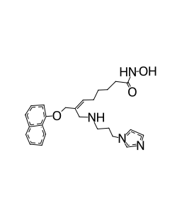 O=C(CCCCC=C(CNCCCn1ccnc1)COc1cccc2ccccc12)NO